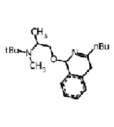 CCCCC1=NC(OCC(C)N(C)C(C)(C)C)c2ccccc2C1